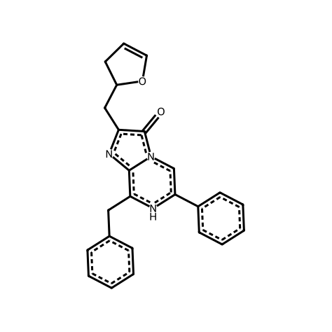 O=c1c(CC2CC=CO2)nc2c(Cc3ccccc3)[nH]c(-c3ccccc3)cn1-2